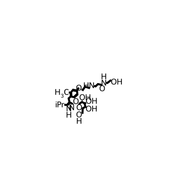 Cc1cc(OCCCNCCC(=O)NCCO)ccc1Cc1c(OC2OC(CO)[C@@H](O)C(O)[C@H]2O)n[nH]c1C(C)C